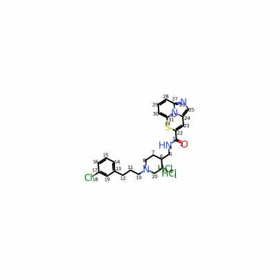 Cl.Cl.O=C(NCC1CCN(CCCc2cccc(Cl)c2)CC1)C1=Cc2cnc3cccc(n23)S1